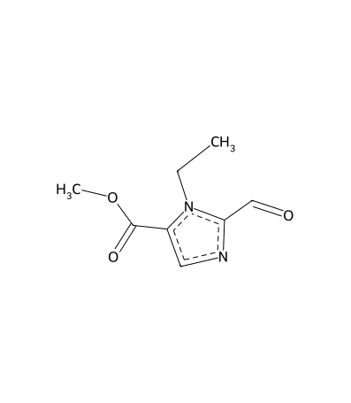 CCn1c(C(=O)OC)cnc1C=O